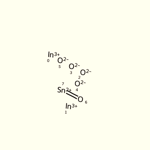 [In+3].[In+3].[O-2].[O-2].[O-2].[O-2].[O]=[Sn+2]